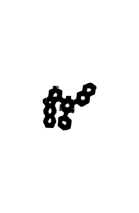 c1ccc(-c2nc(-c3ccc4ccccc4c3)nc(-c3cncc4oc5cc6ccccc6cc5c34)n2)cc1